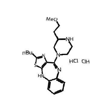 CCCCc1nc2c(s1)Nc1ccccc1N=C2N1CCNC(CCOC)C1.Cl.Cl